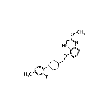 COC1=Nc2cccc(OCC3CCN(c4ccc(C)cc4F)CC3)c2PC1